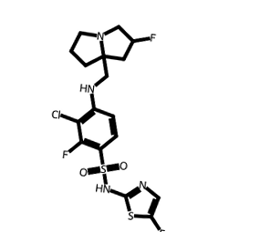 O=S(=O)(Nc1ncc(F)s1)c1ccc(NCC23CCCN2CC(F)C3)c(Cl)c1F